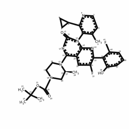 Cc1ccnc(C2CC2)c1-n1c(=O)nc(N2CCN(C(=O)OC(C)(C)C)C[C@@H]2C)c2cc(F)c(-c3c(O)cccc3F)nc21